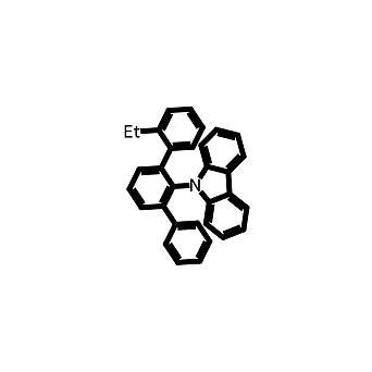 CCc1ccccc1-c1cccc(-c2ccccc2)c1-n1c2ccccc2c2ccccc21